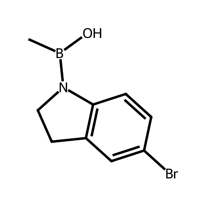 CB(O)N1CCc2cc(Br)ccc21